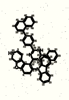 C1=Cc2c(oc3ccc(-n4c5ccccc5c5ccccc54)c(C4=NC(c5ccccc5)NC(c5ccc(-c6cccc7ccccc67)cc5)=N4)c23)CN1